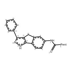 CCCC(C)C(=O)Nc1ccc2c(c1)Cc1c(-c3ccccc3)n[nH]c1-2